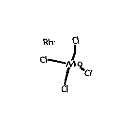 [Cl][Mo]([Cl])([Cl])[Cl].[Rh]